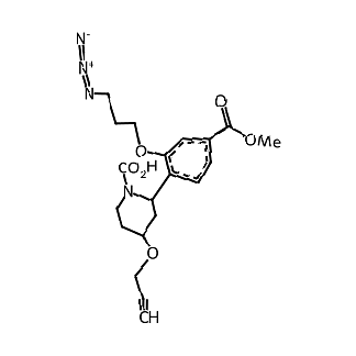 C#CCOC1CCN(C(=O)O)C(c2ccc(C(=O)OC)cc2OCCCN=[N+]=[N-])C1